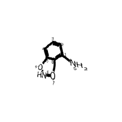 Nc1cccc2c1ONO2